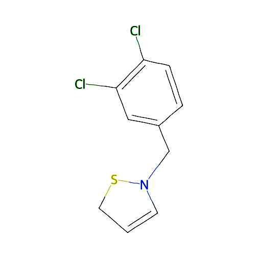 Clc1ccc(CN2C=CCS2)cc1Cl